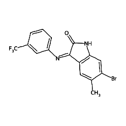 Cc1cc2c(cc1Br)NC(=O)C2=Nc1cccc(C(F)(F)F)c1